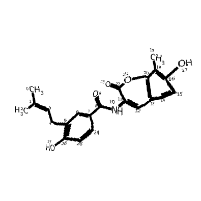 CC(C)=CCc1cc(C(=O)Nc2cc3ccc(O)c(C)c3oc2=O)ccc1O